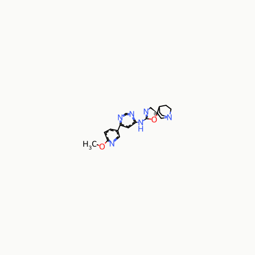 COc1ccc(-c2cc(NC3=NC[C@@]4(CN5CCC4CC5)O3)ncn2)cn1